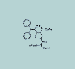 CCCCCN(CCCCC)C(=O)N1CCN(C(=O)C(c2ccccc2)c2ccccc2)C(C(=O)OC)C1